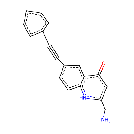 NCc1cc(=O)c2cc(C#Cc3ccccc3)ccc2[nH]1